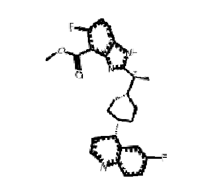 COC(=O)c1c(F)ccc2[nH]c([C@@H](C)[C@H]3CC[C@@H](c4ccnc5ccc(F)cc54)CC3)nc12